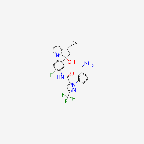 NCc1cccc(-n2nc(C(F)(F)F)cc2C(=O)Nc2cc(C(O)(CCC3CC3)c3ccccn3)ccc2F)c1